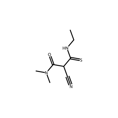 CCNC(=S)C(C#N)C(=O)N(C)C